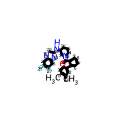 Cc1ccc(-c2ccccc2C(=O)N2CCCC(Nc3cnc4cc(F)c(F)cc4n3)C2)cc1C